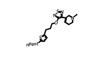 CCCCCc1ccc(CCCOc2nsnc2C2=CCCN(C)C2)s1